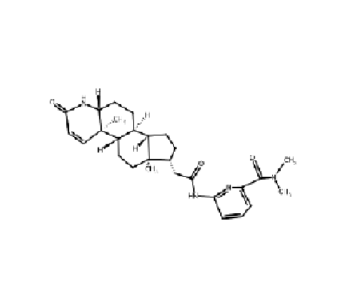 CN(C)C(=O)c1cccc(NC(=O)C[C@H]2CC[C@H]3[C@@H]4CC[C@H]5NC(=O)C=C[C@]5(C)[C@H]4CC[C@]23C)n1